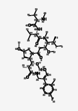 CC[C@H](C)[C@@H]([C@H](CC(=O)N1C[C@H](OC)C[C@@H]1[C@H](OC)[C@@H](C)C(=O)NCC(=NO)c1ccc(F)cc1C)OC)N(C)C(=O)[C@@H](NC(=O)[C@@H](NC)C(C)C)C(C)C